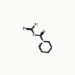 CCC(CC)OC(=O)N1CCCCC1